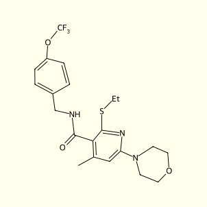 CCSc1nc(N2CCOCC2)cc(C)c1C(=O)NCc1ccc(OC(F)(F)F)cc1